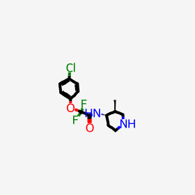 C[C@H]1CNCC[C@@H]1NC(=O)C(F)(F)Oc1ccc(Cl)cc1